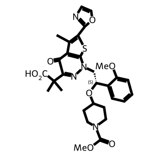 COC(=O)N1CCC(O[C@H](Cn2nc(C(C)(C)C(=O)O)c(=O)c3c(C)c(-c4ncco4)sc32)c2ccccc2OC)CC1